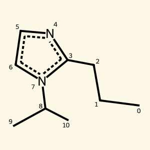 CCCc1nccn1C(C)C